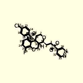 O=S(=O)(CC[C@@H]1OCC[C@@]2(S(=O)(=O)c3ccc(Cl)cc3)c3c(F)ccc(F)c3OC[C@@H]12)c1ccnnc1